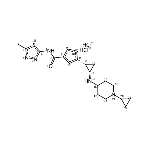 Cc1nnc(NC(=O)c2csc([C@@H]3C[C@H]3NC3CCN(C4CC4)CC3)c2)s1.Cl.Cl